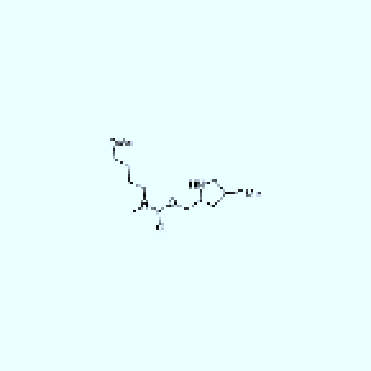 COCCCCN(C)C(=O)OCC1CC(OC)CN1